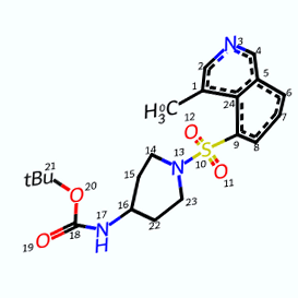 Cc1cncc2cccc(S(=O)(=O)N3CCC(NC(=O)OC(C)(C)C)CC3)c12